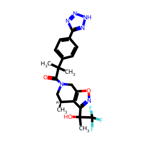 C[C@H]1CN(C(=O)C(C)(C)c2ccc(-c3nn[nH]n3)cc2)Cc2onc(C(C)(O)C(F)(F)F)c21